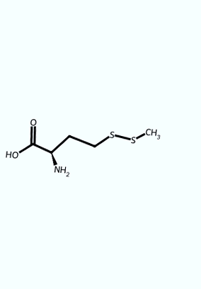 CSSCC[C@@H](N)C(=O)O